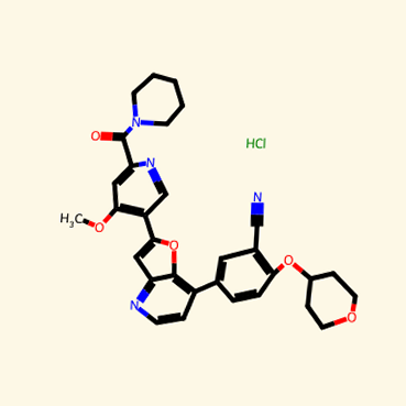 COc1cc(C(=O)N2CCCCC2)ncc1-c1cc2nccc(-c3ccc(OC4CCOCC4)c(C#N)c3)c2o1.Cl